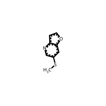 CSc1cnc2ccoc2c1